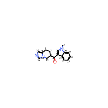 Cn1cc(C(=O)C2CCc3cncn3C2)c2ccccc21